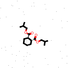 CC(C)COC(=O)[C@@H]1CCCC[C@H]1C(=O)OCC(C)C